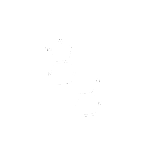 Clc1ncccc1-c1cnc2[nH]ncc2c1